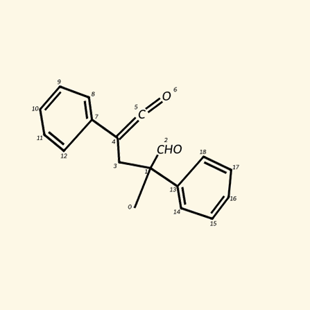 CC(C=O)(CC(=C=O)c1ccccc1)c1ccccc1